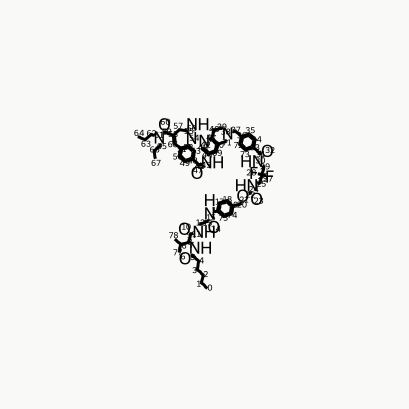 CCCCCC(=O)NC(C(=O)NCC(=O)Nc1ccc(COC(=O)NCC(F)(F)CNC(=O)c2ccc(CN3CCc4ncc(NC(=O)c5ccc6c(c5)N=C(N)CC(C(=O)N(CCC)CCC)=C6)cc4C3)cc2)cc1)C(C)C